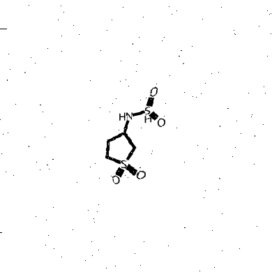 O=[SH](=O)NC1CCS(=O)(=O)C1